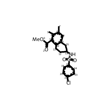 COC(=O)c1c(C)c(C)cc2c1CCC(NS(=O)(=O)c1ccc(Cl)cc1)C2